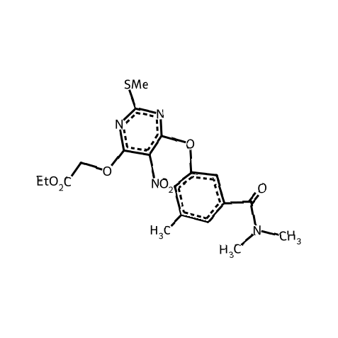 CCOC(=O)COc1nc(SC)nc(Oc2cc(C)cc(C(=O)N(C)C)c2)c1[N+](=O)[O-]